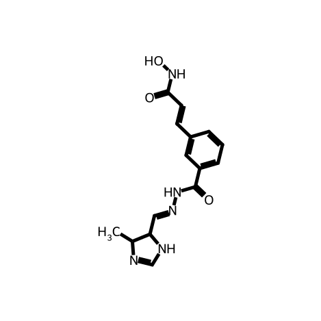 CC1N=CNC1/C=N/NC(=O)c1cccc(/C=C/C(=O)NO)c1